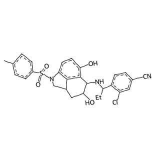 CCC(NC1c2c(O)ccc3c2C(CC1O)CN3S(=O)(=O)c1ccc(C)cc1)c1ccc(C#N)cc1Cl